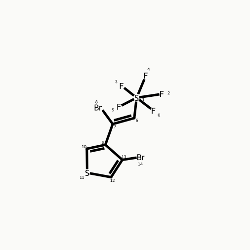 FS(F)(F)(F)(F)C=C(Br)c1cscc1Br